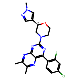 Cc1nc2nc(N3CCO[C@H](c4cnn(C)c4)C3)nc(-c3ccc(Cl)cc3F)c2nc1C